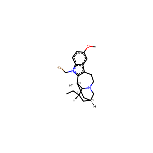 CC[C@H]1C[C@H]2C[C@H]3c4c(c5cc(OC)ccc5n4CS)CCN(C2)C13